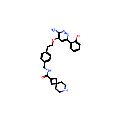 Nc1nnc(-c2ccccc2O)cc1OCCc1ccc(CNC(=O)C2CC3(CCNCC3)C2)cc1